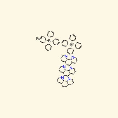 [Fe+2].c1ccc([B-](c2ccccc2)(c2ccccc2)c2ccccc2)cc1.c1ccc([B-](c2ccccc2)(c2ccccc2)c2ccccc2)cc1.c1cnc2c(c1)ccc1cccnc12.c1cnc2c(c1)ccc1cccnc12.c1cnc2c(c1)ccc1cccnc12